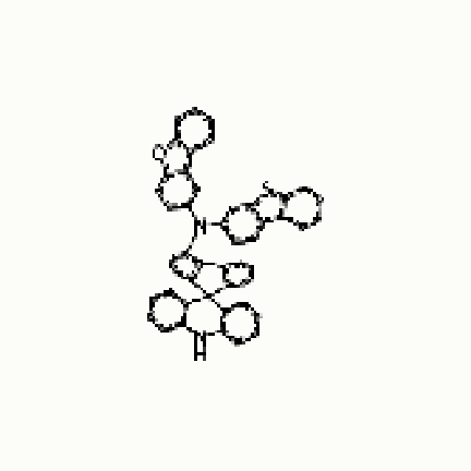 c1ccc2c(c1)Nc1ccccc1C21c2ccccc2-c2c(N(c3ccc4c(c3)sc3ccccc34)c3ccc4oc5ccccc5c4c3)cccc21